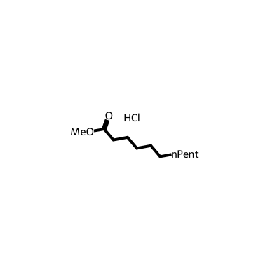 CCCCCCCCCCC(=O)OC.Cl